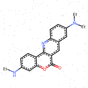 CCNc1ccc2c(c1)oc(=O)c1cc3cc(N(CC)CC)ccc3nc12